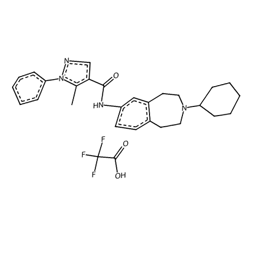 Cc1c(C(=O)Nc2ccc3c(c2)CCN(C2CCCCC2)CC3)cnn1-c1ccccc1.O=C(O)C(F)(F)F